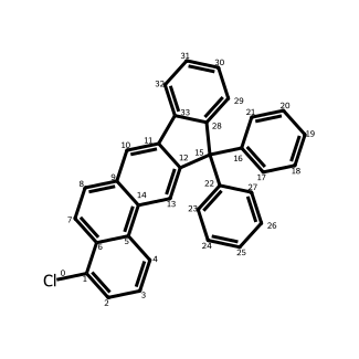 Clc1cccc2c1ccc1cc3c(cc12)C(c1ccccc1)(c1ccccc1)c1ccccc1-3